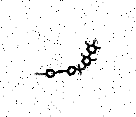 CCCCCc1ccc(C#Cc2ccc(C(F)(F)Oc3cc(F)c(-c4cc(F)c(C(F)(F)F)c(F)c4)c(F)c3)cc2)cc1